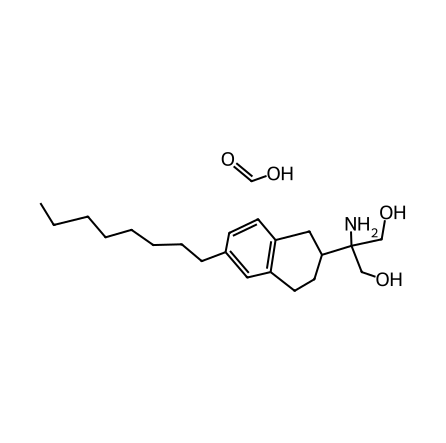 CCCCCCCCc1ccc2c(c1)CCC(C(N)(CO)CO)C2.O=CO